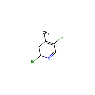 CC1=C(Br)C=NC(Br)C1